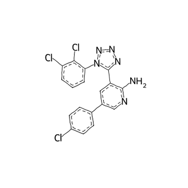 Nc1ncc(-c2ccc(Cl)cc2)cc1-c1nnnn1-c1cccc(Cl)c1Cl